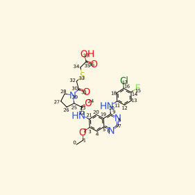 CCOc1cc2ncnc(Nc3ccc(F)c(Cl)c3)c2cc1NC(=O)C1CCCN1C(=O)CSCC(=O)O